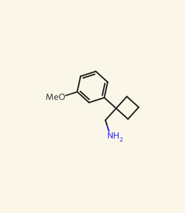 COc1cccc(C2(CN)CCC2)c1